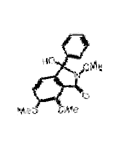 COc1ccc2c(c1OC)C(=O)N(OC)C2(O)c1ccccc1